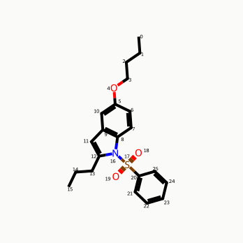 CCCCOc1ccc2c(c1)cc(CCC)n2S(=O)(=O)c1ccccc1